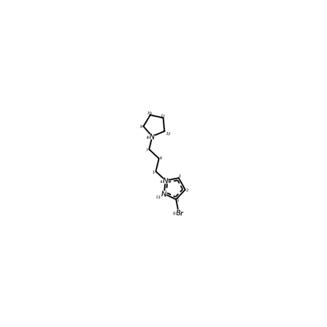 Brc1ccn(CCCN2CCCC2)n1